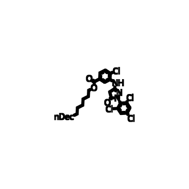 CCCCCCCCCCCCCCCCOC(=O)c1ccc(Cl)c(NC2=NN(c3c(Cl)cc(Cl)cc3Cl)C(=O)C2)c1